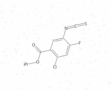 CC(C)OC(=O)c1cc(N=C=S)c(F)cc1Cl